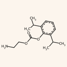 CC(C)c1cccc(C(C)C)c1OC(=O)OCCN